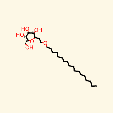 CCCCCCCCCCCCCCCCCCOCC[C]1O[C@H](CO)[C@H](O)[C@H](O)[C@H]1O